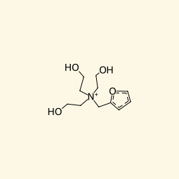 OCC[N+](CCO)(CCO)Cc1ccco1